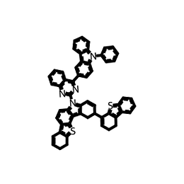 C1=Cc2c(sc3c2ccc2c3c3c(n2-c2nc(-c4ccc5c(c4)c4ccccc4n5-c4ccccc4)c4ccccc4n2)C=CC(C2=CCCc4c2sc2ccccc42)C3)CC1